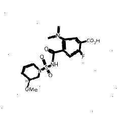 CO[C@H]1CCCN(S(=O)(=O)NC(=O)c2cc(F)c(C(=O)O)cc2N(C)C)C1